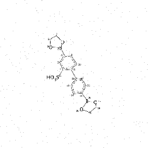 O=S(=O)(O)c1cc(B2OCCO2)ccc1-c1ccc(B2OCCO2)cc1